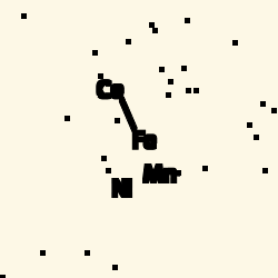 [Fe][Ce].[Mn].[Ni]